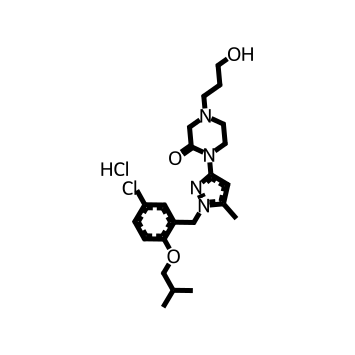 Cc1cc(N2CCN(CCCO)CC2=O)nn1Cc1cc(Cl)ccc1OCC(C)C.Cl